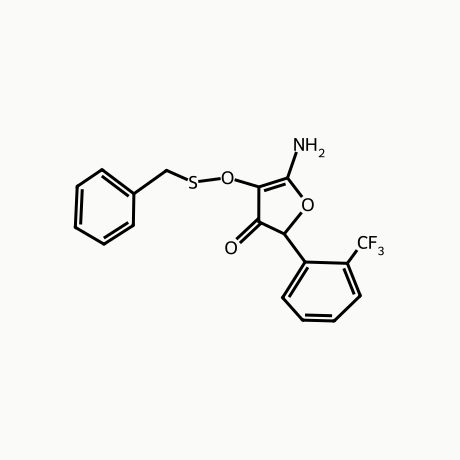 NC1=C(OSCc2ccccc2)C(=O)C(c2ccccc2C(F)(F)F)O1